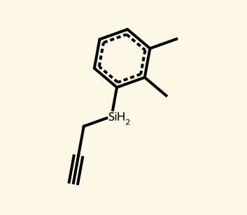 C#CC[SiH2]c1cccc(C)c1C